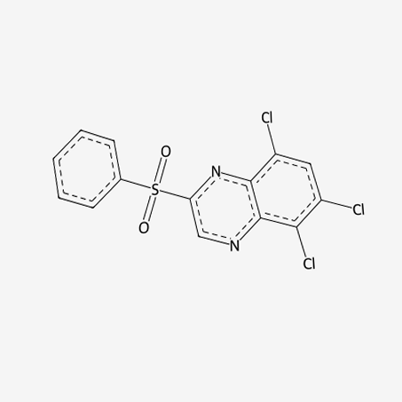 O=S(=O)(c1ccccc1)c1cnc2c(Cl)c(Cl)cc(Cl)c2n1